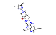 CN/N=C(/CN1CCCC2(CCN(c3nc(C)cc(C)n3)CC2)C1=O)C(=N)c1cncc(OC)c1